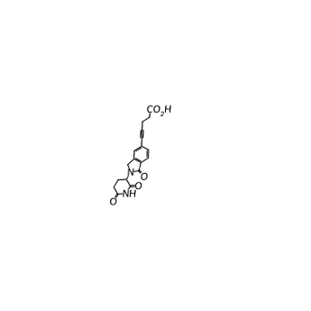 O=C(O)CCC#Cc1ccc2c(c1)CN(C1CCC(=O)NC1=O)C2=O